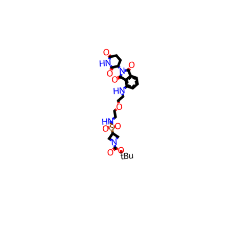 CC(C)(C)OC(=O)N1CC(S(=O)(=O)NCCOCCNc2cccc3c2C(=O)N(C2CCC(=O)NC2=O)C3=O)C1